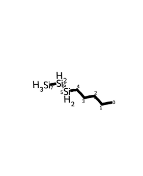 CC[CH]CC[SiH2][SiH2][SiH3]